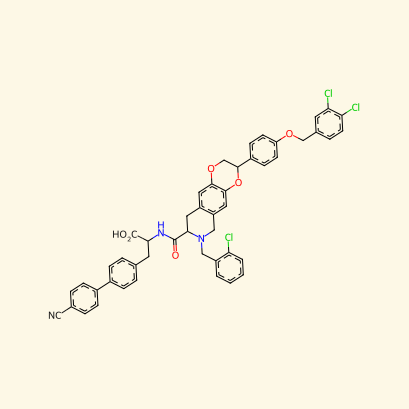 N#Cc1ccc(-c2ccc(CC(NC(=O)C3Cc4cc5c(cc4CN3Cc3ccccc3Cl)OC(c3ccc(OCc4ccc(Cl)c(Cl)c4)cc3)CO5)C(=O)O)cc2)cc1